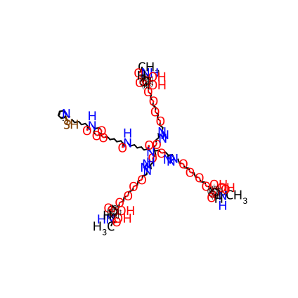 CC(=O)N[C@H]1[C@H]2OC[C@@](COCCOCCOCCOCCn3cc(COCC(COCc4cn(CCOCCOCCOCCOC[C@]56CO[C@@H](O5)[C@H](NC(C)=O)[C@@H](O)[C@H]6O)nn4)(COCc4cn(CCOCCOCCOCCOC[C@]56CO[C@@H](O5)[C@H](NC(C)=O)[C@@H](O)[C@H]6O)nn4)NC(=O)CCCCCNC(=O)CCCCCOC4OCC(NC(=O)CCCCC[S](S)c5ccccn5)CO4)nn3)(O2)[C@H](O)[C@@H]1O